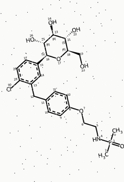 CP(C)(=O)NCCOc1ccc(Cc2cc([C@@H]3O[C@H](CO)[C@@H](O)[C@H](O)[C@H]3O)ccc2Cl)cc1